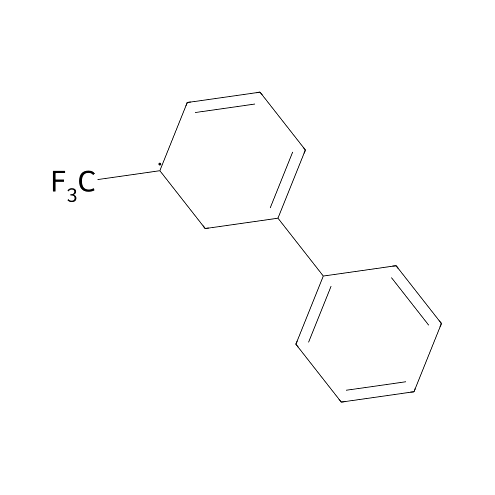 FC(F)(F)[C]1C=CC=C(c2ccccc2)C1